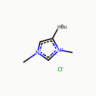 CCCCc1cn(C)c[n+]1C.[Cl-]